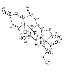 CCC(=O)O[C@]1(C(=O)S)C(C)CC2C3C[C@H](F)C4=CC(=O)C=CC4(C)[C@@]3(F)C(O)CC21C